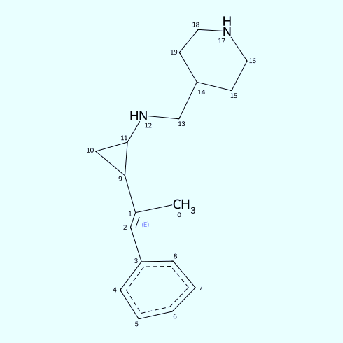 C/C(=C\c1ccccc1)C1CC1NCC1CCNCC1